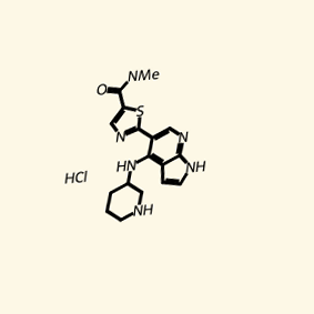 CNC(=O)c1cnc(-c2cnc3[nH]ccc3c2NC2CCCNC2)s1.Cl